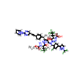 COC(=O)N[C@H](C(=O)N[C@@H](Cc1ccc(C#Cc2cnc(N3CC4CCC(C3)N4)nc2)cc1)[C@@H](O)CN(Cc1c(F)cc(-c2ccn(C(F)F)n2)cc1F)NC(=O)[C@@H](NC(=O)O)C(C)(C)C(F)(F)F)C(C)(C)C(F)(F)F